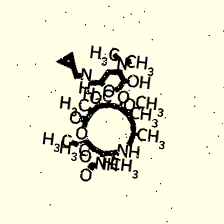 CC[C@H]1OC(=O)C(C)C(=O)[C@H](C)[C@@H](OC2OC(CNCC3CC3)CC(N(C)C)C2O)[C@](C)(OC)C[C@@H](C)CN[C@H](C)[C@H]2NC(=O)O[C@@]21C